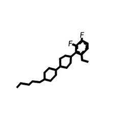 CCCCCC1CCC(C2CCC(c3c(CC)ccc(F)c3F)CC2)CC1